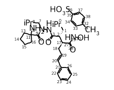 CC(C)C[C@@H](C(=O)NN(CC(C)C)C(=O)C1(N)CCCC1)[C@H](CC=Cc1ccccc1)C(=O)NO.Cc1ccc(S(=O)(=O)O)cc1